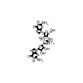 Nc1nc2c(ncn2[C@@H]2O[C@H](CNC(N[C@H]3[C@@H](O)[C@H](n4cnc5c(=O)[nH]c(N)nc54)O[C@@H]3CO)(C(F)(F)F)C(F)(F)F)[C@@H](O)[C@H]2O)c(=O)[nH]1